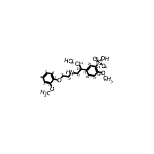 COc1ccccc1OCCNCC(Cl)c1ccc(OC)c(S(=O)(=O)O)c1.Cl